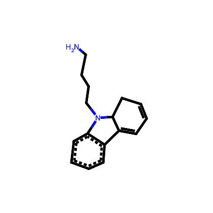 NCCCCN1c2ccccc2C2=CC=CCC21